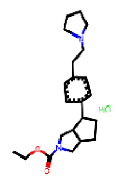 CCOC(=O)N1CC2CCC(c3ccc(CCN4CCCC4)cc3)C2C1.Cl